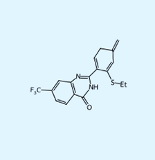 C=C1C=C(SCC)C(c2nc3cc(C(F)(F)F)ccc3c(=O)[nH]2)=CC1